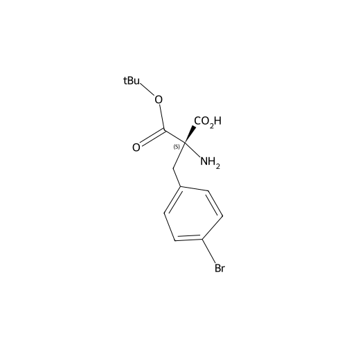 CC(C)(C)OC(=O)[C@](N)(Cc1ccc(Br)cc1)C(=O)O